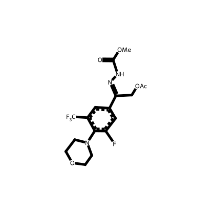 COC(=O)NN=C(COC(C)=O)c1cc(F)c(N2CCOCC2)c(C(F)(F)F)c1